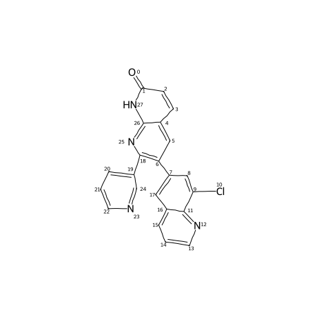 O=c1ccc2cc(-c3cc(Cl)c4ncccc4c3)c(-c3cccnc3)nc2[nH]1